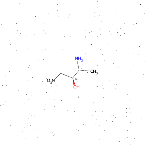 CC(N)[C@@H](O)C[N+](=O)[O-]